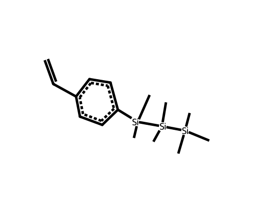 C=Cc1ccc([Si](C)(C)[Si](C)(C)[Si](C)(C)C)cc1